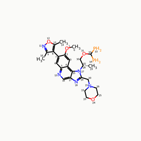 COc1cc2c(cc1-c1c(C)noc1C)ncc1nc(CN3CCOCC3)n([C@@H](C)COC(P)P)c12